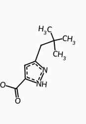 CC(C)(C)Cc1cc(C(=O)O)[nH]n1